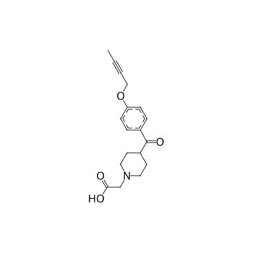 CC#CCOc1ccc(C(=O)C2CCN(CC(=O)O)CC2)cc1